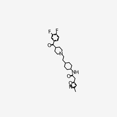 Cc1cc(CC(=O)NC2CCC(CCN3CCC(C(=O)c4ccc(F)c(F)c4)CC3)CC2)on1